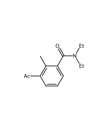 CCN(CC)C(=O)c1cccc(C(C)=O)c1C